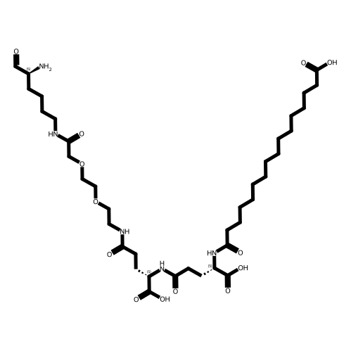 N[C@H](C=O)CCCCNC(=O)COCCOCCNC(=O)CC[C@H](NC(=O)CC[C@H](NC(=O)CCCCCCCCCCCCCCC(=O)O)C(=O)O)C(=O)O